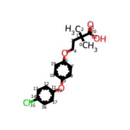 CC(C)(CCOc1ccc(Oc2ccc(Cl)cc2)cc1)C(=O)O